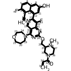 C#Cc1c(F)ccc2cc(O)cc(-c3ncc4c(N5CCCOCC5)nc(OCC5CN(C(=O)C=C)CCN5C)nc4c3F)c12